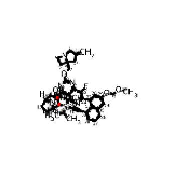 C=C1CN2CCC2(COc2nc(N3C[C@H]4CC[C@@H](C3)N4C(=O)O)c3cnc(-c4cc(OCOC)cc5cccc(C#C[Si](C(C)C)(C(C)C)C(C)C)c45)c(F)c3n2)C1